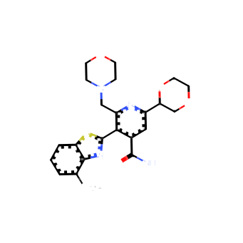 COc1cccc2sc(-c3c(C(N)=O)cc(C4COCCO4)nc3CN3CCOCC3)nc12